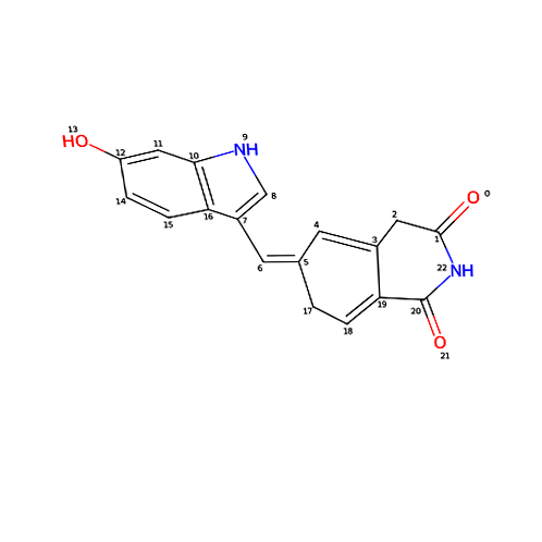 O=C1CC2=CC(=Cc3c[nH]c4cc(O)ccc34)CC=C2C(=O)N1